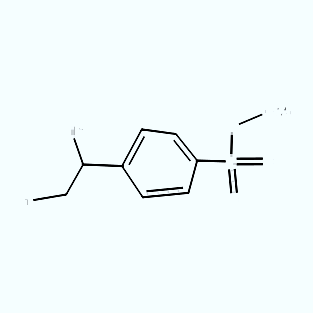 COOS(=O)(=O)c1ccc(C(CC(C)C)C(C)C)cc1